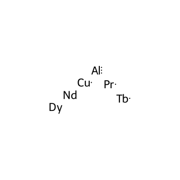 [Al].[Cu].[Dy].[Nd].[Pr].[Tb]